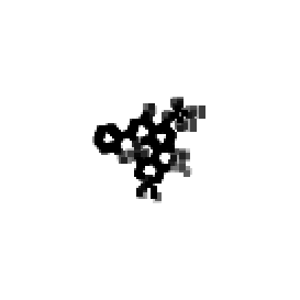 BC1CN(C)CC(O)C1c1c(O)cc(OP(=O)(O)O)c2c(=O)cc(-c3ccccc3Cl)oc12